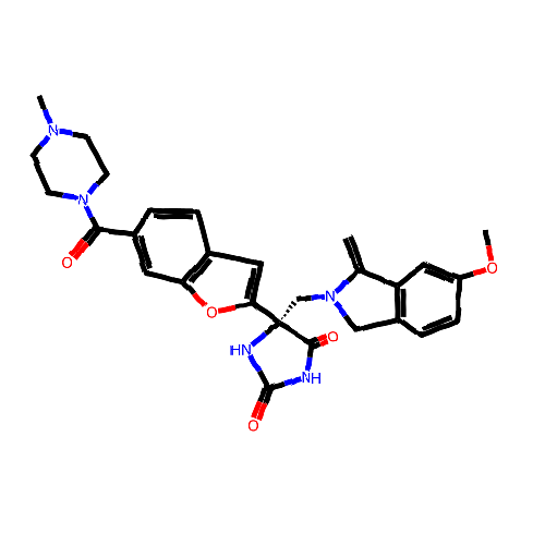 C=C1c2cc(OC)ccc2CN1C[C@@]1(c2cc3ccc(C(=O)N4CCN(C)CC4)cc3o2)NC(=O)NC1=O